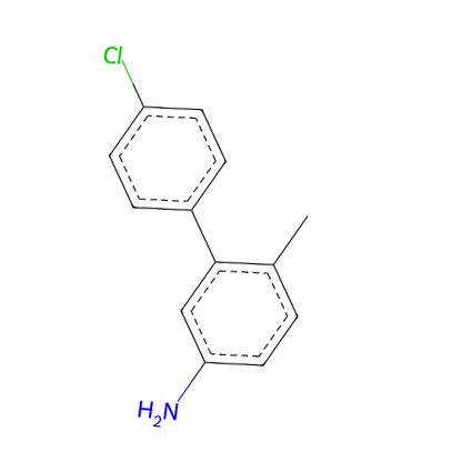 Cc1ccc(N)cc1-c1ccc(Cl)cc1